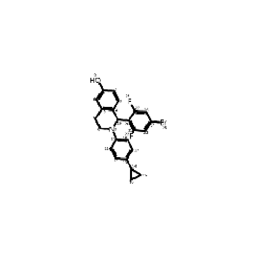 Oc1ccc2c(c1)CCN(c1ccc(C3CC3)cc1)C2c1c(F)cc(Br)cc1F